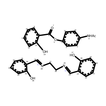 CC(=O)Nc1ccc(OC(=O)c2ccccc2O)cc1.Oc1ccccc1/C=N/CC/N=C/c1ccccc1O